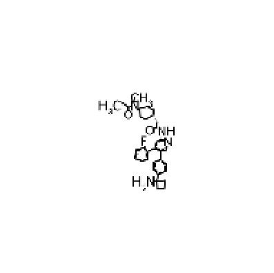 CCC(=O)N(C)[C@H]1CC[C@H](CC(=O)Nc2cc(-c3ccccc3F)c(-c3ccc(C4(N)CCC4)cc3)cn2)CC1